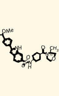 COCc1ccc(-c2cc3ccc(S(=O)(=O)N[C@H]4CC[C@H](C(=O)N5CCOC[C@@H]5C)CC4)cc3[nH]2)cc1